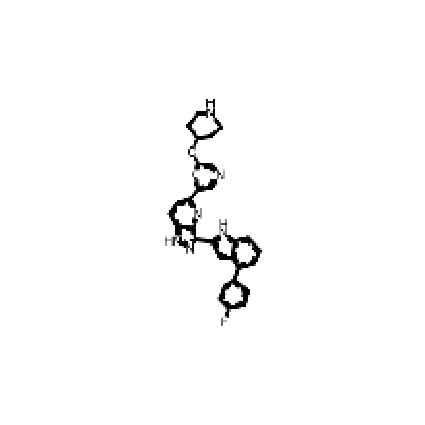 Fc1ccc(-c2cccc3[nH]c(-c4n[nH]c5ccc(-c6cncc(OC7CCNCC7)c6)nc45)cc23)cc1